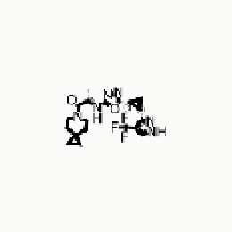 C[C@H](Nc1nnc([C@@H]2C[C@@H]2c2n[nH]cc2C(F)(F)F)o1)C(=O)N1CCC2(CC1)CC2